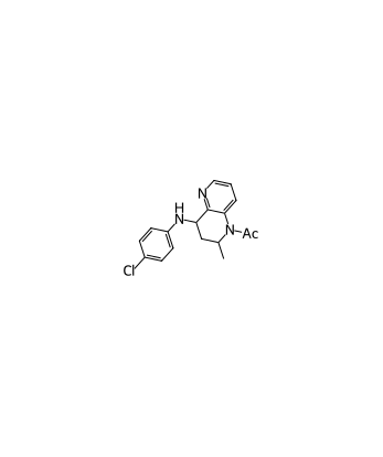 CC(=O)N1c2cccnc2C(Nc2ccc(Cl)cc2)CC1C